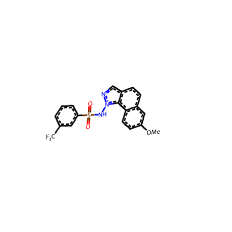 COc1ccc2c(ccc3cnn(NS(=O)(=O)c4cccc(C(F)(F)F)c4)c32)c1